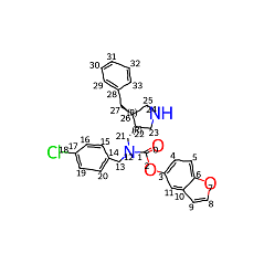 O=C(Oc1ccc2occc2c1)N(Cc1ccc(Cl)cc1)C[C@H]1CNC[C@@H]1Cc1ccccc1